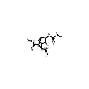 COC(=O)OC1C2CC3C1OC(=O)C3C2C(=O)OC